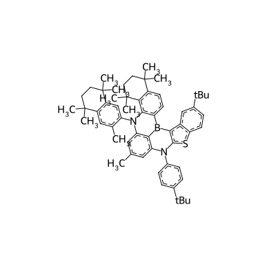 Cc1cc2c3c(c1)N(c1cc4c(cc1C)C(C)(C)CCC4(C)C)c1c(ccc4c1C(C)(C)CCC4(C)C)B3c1c(sc3ccc(C(C)(C)C)cc13)N2c1ccc(C(C)(C)C)cc1